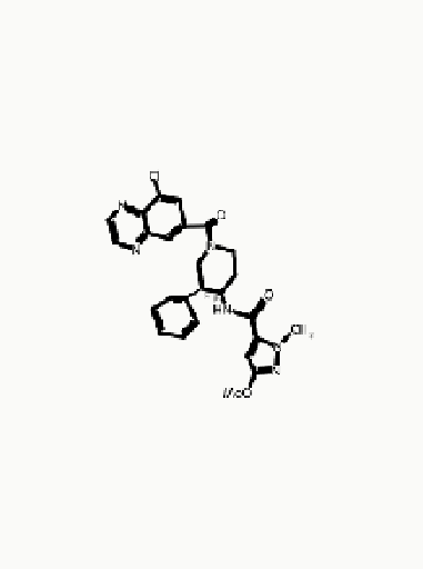 COc1cc(C(=O)N[C@@H]2CCN(C(=O)c3cc(Cl)c4nccnc4c3)C[C@@H]2c2ccccc2)n(C)n1